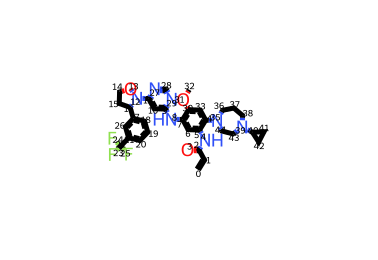 C=CC(=O)Nc1cc(Nc2cc(N3OCCC3c3cccc(C(F)(F)F)c3)ncn2)c(OC)cc1N1CCCN(C2CC2)CC1